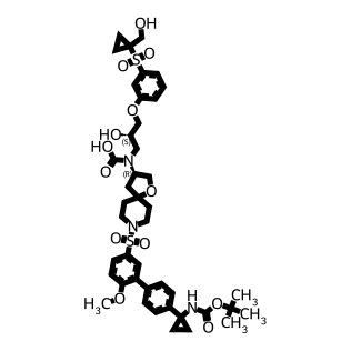 COc1ccc(S(=O)(=O)N2CCC3(CC2)C[C@@H](N(C[C@H](O)COc2cccc(S(=O)(=O)C4(CO)CC4)c2)C(=O)O)CO3)cc1-c1ccc(C2(NC(=O)OC(C)(C)C)CC2)cc1